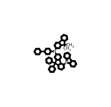 CC1(C)c2ccccc2-c2ccc(N(c3ccc(-c4ccccc4)cc3)c3ccc4c(c3)C(c3ccccc3)(c3ccccc3)c3cccc(-n5c6ccccc6c6ccccc65)c3-4)cc21